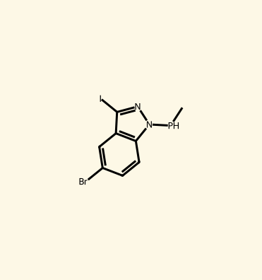 CPn1nc(I)c2cc(Br)ccc21